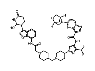 O=C(CN1CCC(CN2CCC(n3cc(NC(=O)c4cnn5ccc(N6C[C@H]7C[C@@H]6CO7)nc45)c(C(F)F)n3)CC2)CC1)Nc1cccc2c(C3CCC(=O)NC3O)noc12